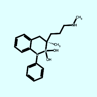 CNCCC[C@]1(C)Cc2ccccc2N(c2ccccc2)S1(O)O